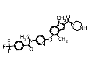 Cc1c(Oc2ccc(N(C)C(=O)c3ccc(C(F)(F)F)cc3)cn2)ccc2c1cc(C(=O)N1CCNCC1)n2C